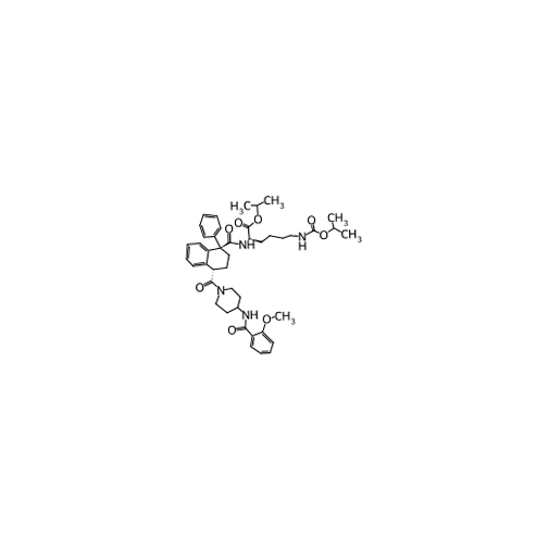 COc1ccccc1C(=O)NC1CCN(C(=O)[C@H]2CC[C@@](C(=O)N[C@H](CCCCNC(=O)OC(C)C)C(=O)OC(C)C)(c3ccccc3)c3ccccc32)CC1